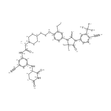 CCc1cc(N2C(=S)N(c3cnc(C#N)c(C(F)(F)F)c3)C(=O)C2(C)C)ccc1OCCC1CCN([C@@H](C)C(=O)Nc2cc(C#N)cc(NC3CCC(=O)NC3=O)c2)CC1